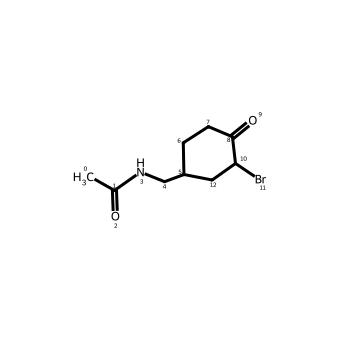 CC(=O)NCC1CCC(=O)C(Br)C1